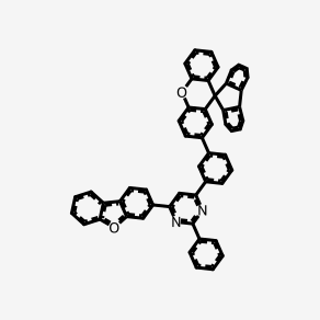 c1ccc(-c2nc(-c3cccc(-c4ccc5c(c4)C4(c6ccccc6O5)c5ccccc5-c5ccccc54)c3)cc(-c3ccc4c(c3)oc3ccccc34)n2)cc1